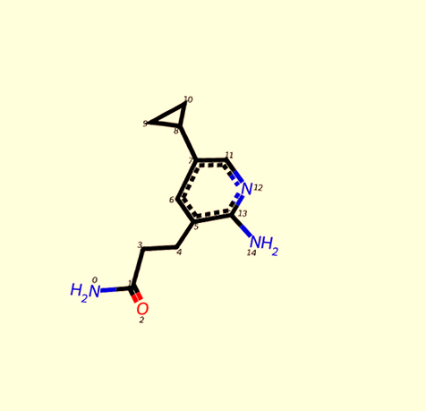 NC(=O)CCc1cc(C2CC2)cnc1N